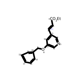 CCOC(=O)/C=C/c1cncc(OCc2ccccc2)c1